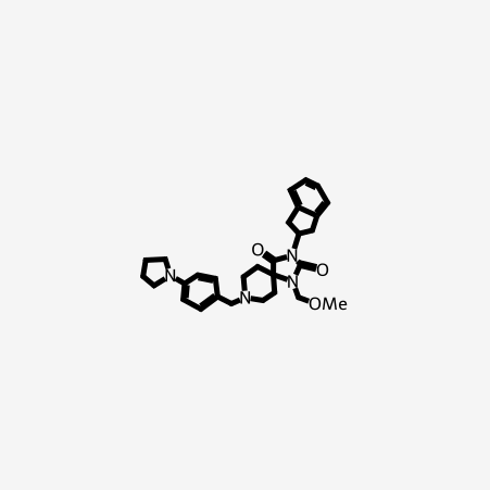 COCN1C(=O)N(C2Cc3ccccc3C2)C(=O)C12CCN(Cc1ccc(N3CCCC3)cc1)CC2